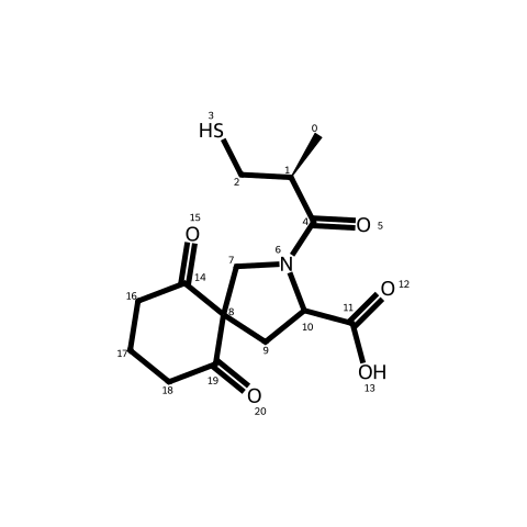 C[C@H](CS)C(=O)N1CC2(CC1C(=O)O)C(=O)CCCC2=O